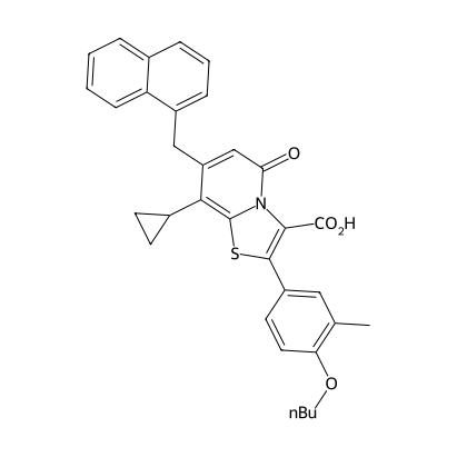 CCCCOc1ccc(-c2sc3c(C4CC4)c(Cc4cccc5ccccc45)cc(=O)n3c2C(=O)O)cc1C